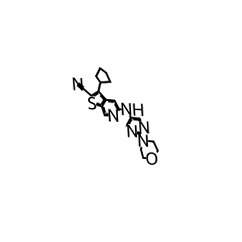 N#Cc1sc2cnc(Nc3cnc(N4CCOCC4)nc3)cc2c1C1CCCC1